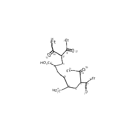 CCC(=O)C(CC(CCC(CC(C(=O)CC)C(=O)CC)C(=O)O)C(=O)O)C(=O)CC